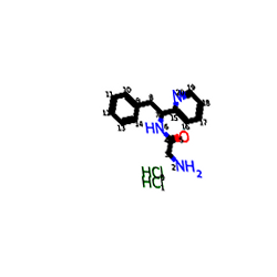 Cl.Cl.NCC(=O)NC(Cc1ccccc1)c1ccccn1